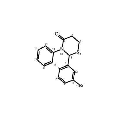 O=C1CCSC(c2cccc(Br)c2)N1c1ccccc1